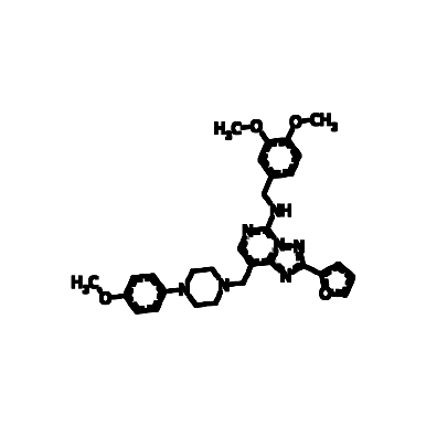 COc1ccc(N2CCN(Cc3cnc(NCc4ccc(OC)c(OC)c4)n4nc(-c5ccco5)nc34)CC2)cc1